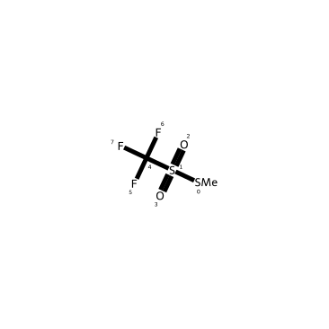 CSS(=O)(=O)C(F)(F)F